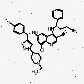 CCN1CCC(n2cc([C@@H](Nc3cc(Cl)c4ncc(C#N)c(N[C@H](CCC#N)c5ccccc5)c4c3)c3ccc(Cl)cc3)nn2)CC1